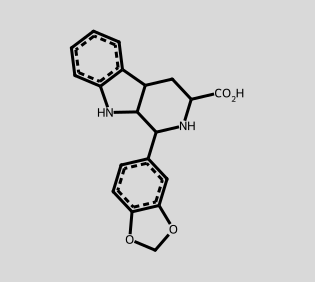 O=C(O)C1CC2c3ccccc3NC2C(c2ccc3c(c2)OCO3)N1